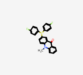 Cn1c2ccccc2c(=O)c2cc([S+](c3ccc(F)cc3)c3ccc(F)cc3)ccc21